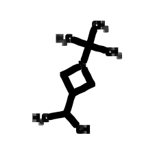 CC(O)C1CN(C(C)(C)C)C1